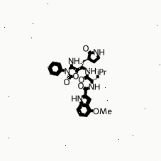 COc1cccc2[nH]c(C(=O)N[C@@H](CC(C)C)C(=O)N[C@@H](C[C@@H]3CCNC3=O)C3OC(=O)N(c4ccccc4)C3N)cc12